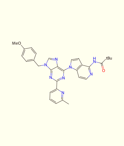 COc1ccc(Cn2cnc3c(-n4ccc5c(NC(=O)C(C)(C)C)nccc54)nc(-c4cccc(C)n4)nc32)cc1